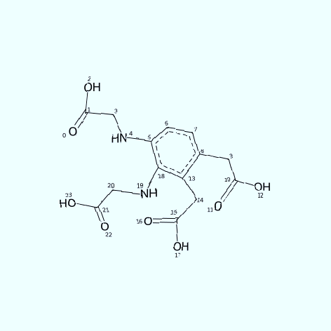 O=C(O)CNc1ccc(CC(=O)O)c(CC(=O)O)c1NCC(=O)O